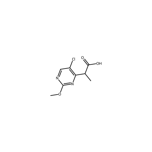 COc1ncc(Cl)c(C(C)C(=O)O)n1